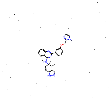 CC1c2cn[nH]c2C=CC1(C)Nc1nc(-c2cccc(OCc3nccn3C)c2)nc2ccccc12